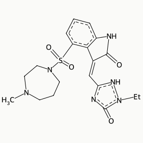 CCn1[nH]c(/C=C2\C(=O)Nc3cccc(S(=O)(=O)N4CCCN(C)CC4)c32)nc1=O